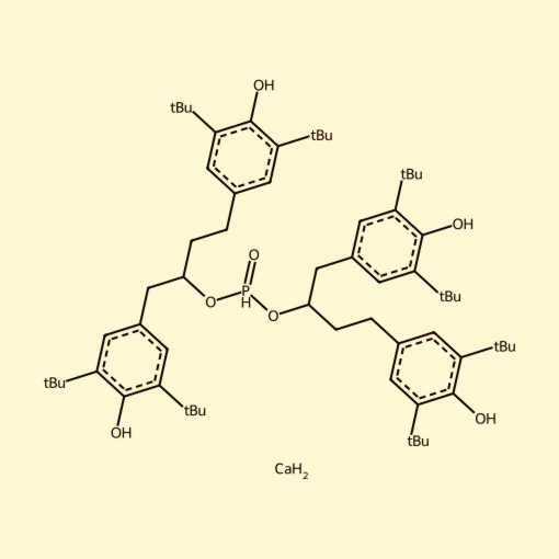 CC(C)(C)c1cc(CCC(Cc2cc(C(C)(C)C)c(O)c(C(C)(C)C)c2)O[PH](=O)OC(CCc2cc(C(C)(C)C)c(O)c(C(C)(C)C)c2)Cc2cc(C(C)(C)C)c(O)c(C(C)(C)C)c2)cc(C(C)(C)C)c1O.[CaH2]